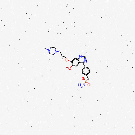 COc1cc2c(-c3ccc(CS(N)(=O)=O)cc3)ncnc2cc1OCCCN1CCN(C)CC1